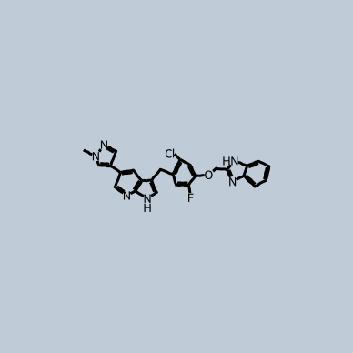 Cn1cc(-c2cnc3[nH]cc(Cc4cc(F)c(OCc5nc6ccccc6[nH]5)cc4Cl)c3c2)cn1